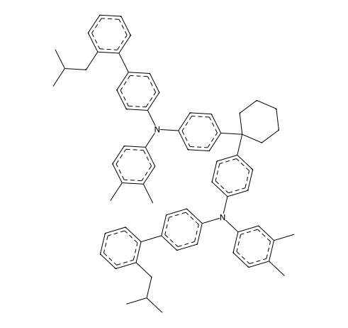 Cc1ccc(N(c2ccc(-c3ccccc3CC(C)C)cc2)c2ccc(C3(c4ccc(N(c5ccc(-c6ccccc6CC(C)C)cc5)c5ccc(C)c(C)c5)cc4)CCCCC3)cc2)cc1C